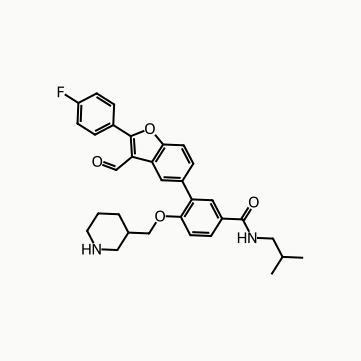 CC(C)CNC(=O)c1ccc(OCC2CCCNC2)c(-c2ccc3oc(-c4ccc(F)cc4)c(C=O)c3c2)c1